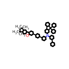 CC1(C)CC(C)(C)c2cc3c(cc21)oc1cc(-c2ccc(-c4cccc(N(c5cccc(-c6ccccc6)c5)c5ccc6c(c5)C(c5ccccc5)(c5ccccc5)c5ccccc5-6)c4)cc2)ccc13